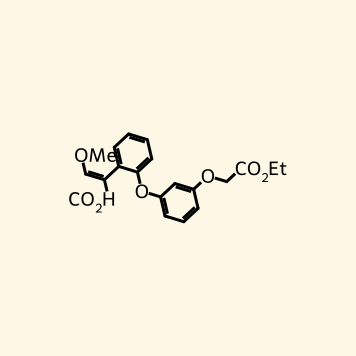 CCOC(=O)COc1cccc(Oc2ccccc2/C(=C\OC)C(=O)O)c1